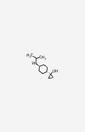 CC(C)N[C@H]1CC[C@H](C2(O)CC2)CC1